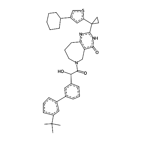 CC(C)(C)c1cccc(-c2cccc(C(O)C(=O)N3CCCc4nc(C5(c6cc(C7CCCCC7)cs6)CC5)[nH]c(=O)c4C3)c2)c1